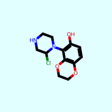 Oc1ccc2c(c1N1CCNCC1Cl)OCCO2